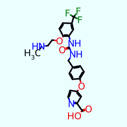 CNCCOc1ccc(C(F)(F)F)cc1NC(=O)NCc1ccc(Oc2ccnc(C(=O)O)c2)cc1